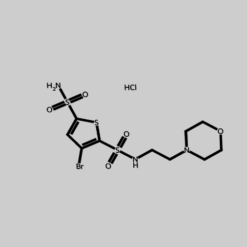 Cl.NS(=O)(=O)c1cc(Br)c(S(=O)(=O)NCCN2CCOCC2)s1